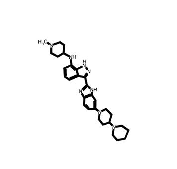 CN1CCC(Nc2cccc3c(-c4nc5ccc(N6CCC(N7CCCCC7)CC6)cc5[nH]4)n[nH]c23)CC1